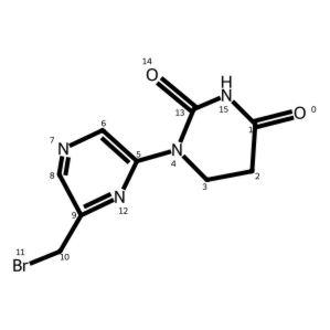 O=C1CCN(c2cncc(CBr)n2)C(=O)N1